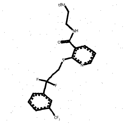 CC(C)(C)CCNC(=O)c1cccnc1SCCC(F)(F)c1cccc(C(F)(F)F)c1